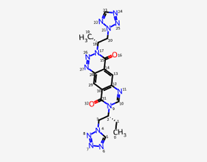 CC[C@H](Cn1cnnn1)n1cnc2cc3c(=O)n([C@H](C)Cn4ncnn4)nnc3cc2c1=O